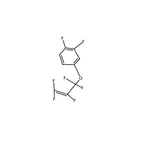 FC(F)=C(F)C(F)(F)Oc1ccc(F)c(F)c1